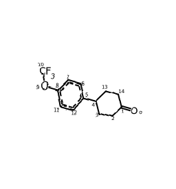 O=C1CCC(c2ccc(OC(F)(F)F)cc2)CC1